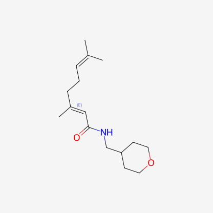 CC(C)=CCC/C(C)=C/C(=O)NCC1CCOCC1